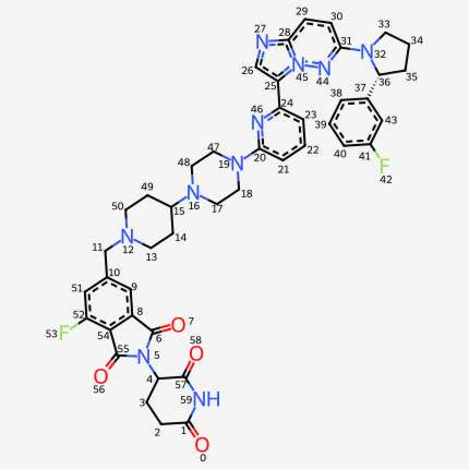 O=C1CCC(N2C(=O)c3cc(CN4CCC(N5CCN(c6cccc(-c7cnc8ccc(N9CCC[C@@H]9c9cccc(F)c9)nn78)n6)CC5)CC4)cc(F)c3C2=O)C(=O)N1